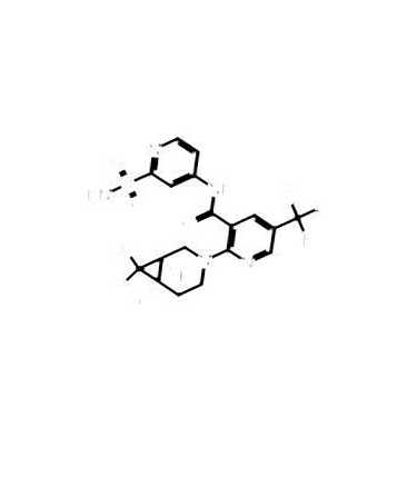 C[C@@]12CCN(c3ncc(C(F)(F)F)cc3C(=O)Nc3ccnc(S(N)(=O)=O)c3)C[C@@H]1C2(F)F